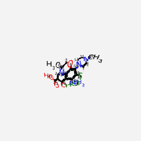 C[C@H]1COc2c(N3CCN(C)CC3)c(F)c(N)c3c(=O)c(C(=O)O)cn1c23.Cl